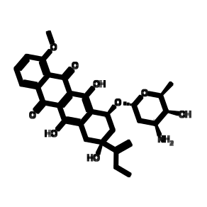 C=C(CC)[C@]1(O)Cc2c(O)c3c(c(O)c2[C@@H](O[C@H]2C[C@H](N)[C@H](O)[C@H](C)O2)C1)C(=O)c1c(OC)cccc1C3=O